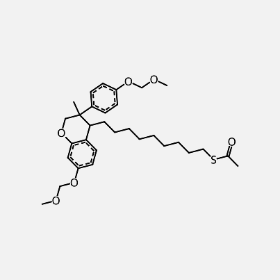 COCOc1ccc(C2(C)COc3cc(OCOC)ccc3C2CCCCCCCCCSC(C)=O)cc1